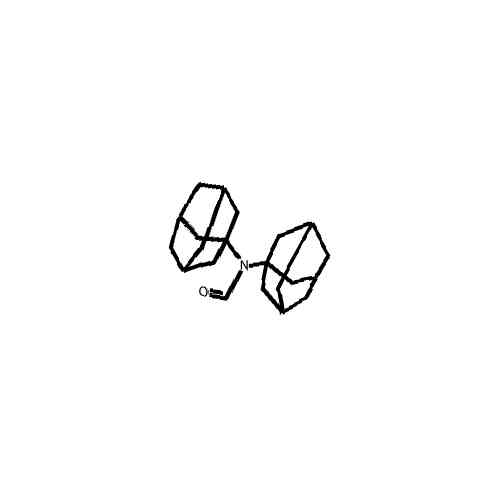 O=CN(C12CC3CC(CC(C3)C1)C2)C12CC3CC(CC(C3)C1)C2